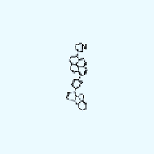 c1cncc(-c2ccc3ccc4c(-c5ccc(-c6cccc7c6oc6ccccc67)cc5)ccc5ccc2c3c54)c1